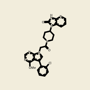 COc1ncnc2c1c(-c1ccccc1Cl)cn2CC(=O)N1CCC(n2c(=O)[nH]c3ncccc32)CC1